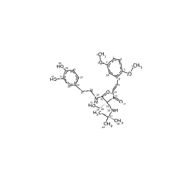 COc1ccc(OC)c(C=CC(=O)[C@@](CO)(NC(C)(C)C)C(=O)NCCc2ccc(O)c(O)c2)c1